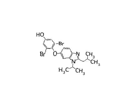 CC(C)Cc1nc2ccc(Oc3c(Br)cc(O)cc3Br)cc2n1C(C)C